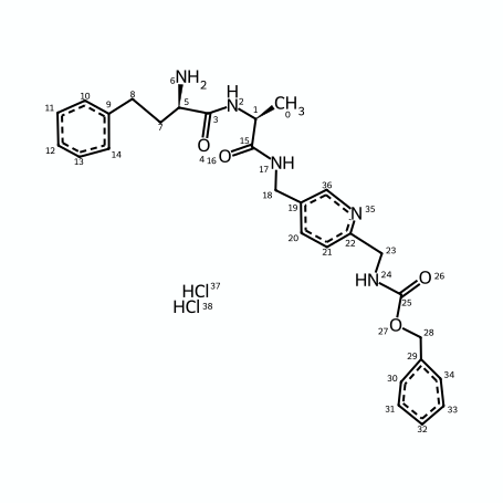 C[C@H](NC(=O)[C@H](N)CCc1ccccc1)C(=O)NCc1ccc(CNC(=O)OCc2ccccc2)nc1.Cl.Cl